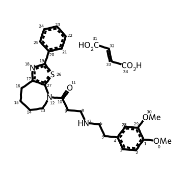 COc1ccc(CCNCCC(=O)N2CCCCc3nc(-c4ccccc4)sc32)cc1OC.O=C(O)/C=C/C(=O)O